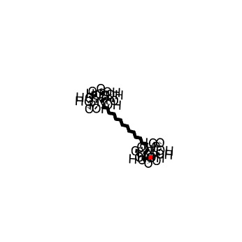 O=P(O)(O)C(N(CCCCCCCCCCCCCCN(C(P(=O)(O)O)P(=O)(O)O)C(P(=O)(O)O)P(=O)(O)O)C(P(=O)(O)O)P(=O)(O)O)P(=O)(O)O